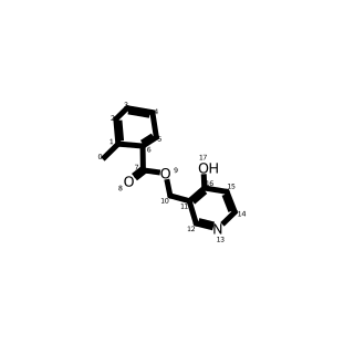 Cc1ccccc1C(=O)OCc1cnccc1O